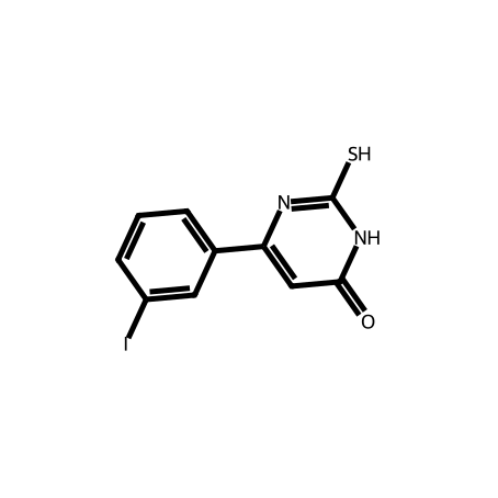 O=c1cc(-c2cccc(I)c2)nc(S)[nH]1